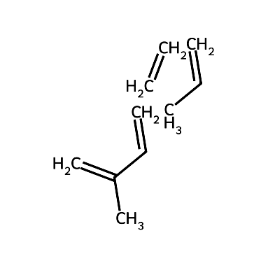 C=C.C=CC.C=CC(=C)C